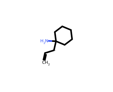 C=C[CH]C1(N)CCCCC1